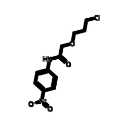 O=C(COCCCCl)Nc1ccc([N+](=O)[O-])cc1